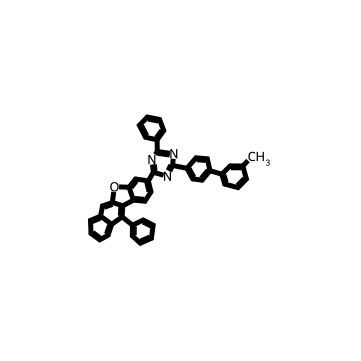 Cc1cccc(-c2ccc(-c3nc(-c4ccccc4)nc(-c4ccc5c(c4)oc4cc6ccccc6c(-c6ccccc6)c45)n3)cc2)c1